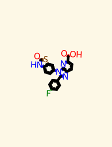 O=C(O)c1ccc2nc(-c3ccc(F)cc3)n(-c3ccc4[nH]c(=O)sc4c3)c2n1